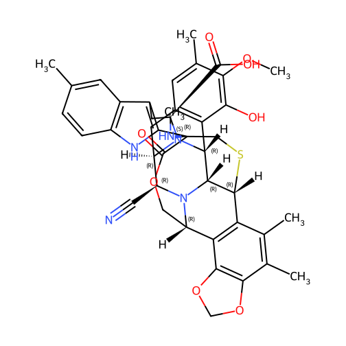 COc1c(C)cc2c(c1O)[C@@H]1[C@@H]3[C@@H]4SC[C@]5(N[C@H](C(=O)O)Cc6c5[nH]c5ccc(C)cc65)C(=O)OC[C@@H](c5c6c(c(C)c(C)c54)OCO6)N3[C@@H](C#N)[C@@H](C2)N1C